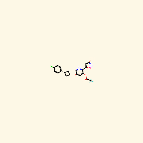 O=C(Oc1cc(O[C@H]2C[C@H](c3ccc(Cl)cc3)C2)cnc1-c1cc(O)no1)C(F)(F)F